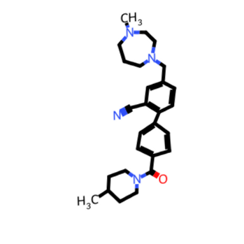 CC1CCN(C(=O)c2ccc(-c3ccc(CN4CCCN(C)CC4)cc3C#N)cc2)CC1